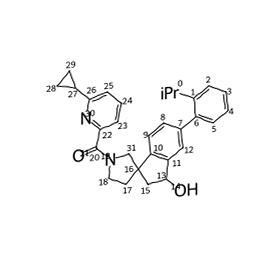 CC(C)c1ccccc1-c1ccc2c(c1)C(O)CC21CCN(C(=O)c2cccc(C3CC3)n2)C1